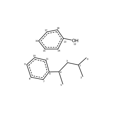 CC(C)CC(C)c1ccccc1.Oc1ccccc1